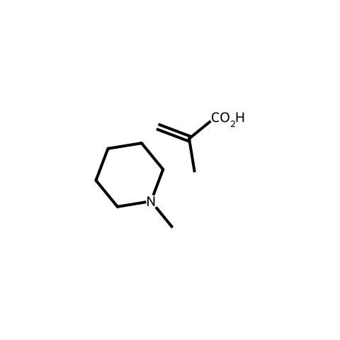 C=C(C)C(=O)O.CN1CCCCC1